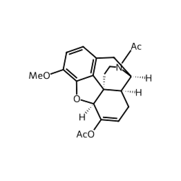 COc1ccc2c3c1O[C@@H]1C(OC(C)=O)=CC[C@@H]4[C@H](C2)N(C(C)=O)CC[C@@]314